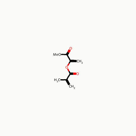 C=C(C)C(=O)OC(=C)C(=O)OC